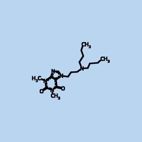 CCCCN(CCCC)CCCn1cnc2c1c(=O)n(C)c(=O)n2C